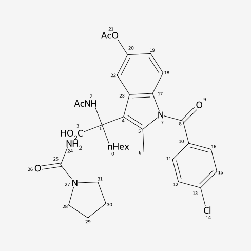 CCCCCCC(NC(C)=O)(C(=O)O)c1c(C)n(C(=O)c2ccc(Cl)cc2)c2ccc(OC(C)=O)cc12.NC(=O)N1CCCC1